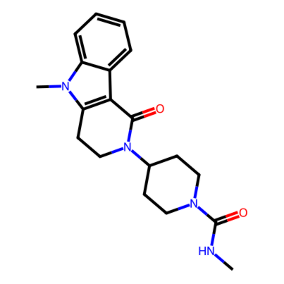 CNC(=O)N1CCC(N2CCc3c(c4ccccc4n3C)C2=O)CC1